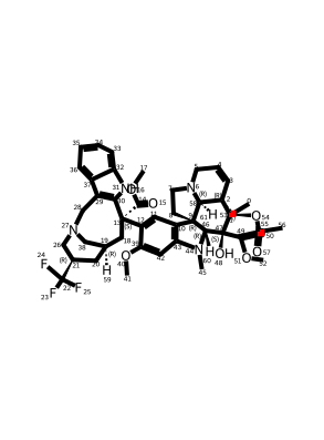 CC[C@]12C=CCN3CC[C@@]4(c5cc([C@@]6(C(=O)OC)C[C@H]7C[C@@H](C(F)(F)F)CN(Cc8c6[nH]c6ccccc86)C7)c(OC)cc5N(C)[C@H]4[C@@](O)(C(=O)OC)[C@@H]1OC(C)=O)[C@@H]32